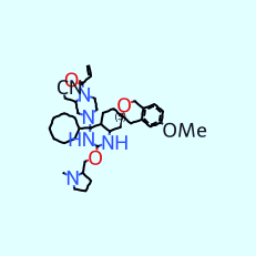 C=CC(=O)N1CCN(C2(C3CCCCCCC3)NC(OCC3CCCN3C)NC3C[C@]4(CCC32)Cc2cc(OC)ccc2CO4)CC1CC#N